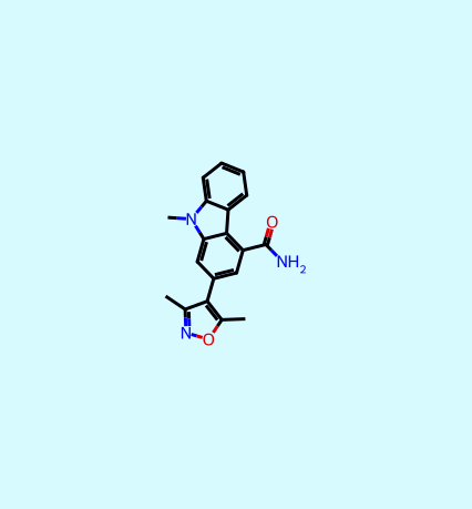 Cc1noc(C)c1-c1cc(C(N)=O)c2c3ccccc3n(C)c2c1